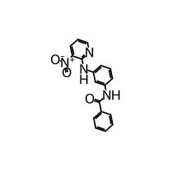 O=C(Nc1cccc(Nc2ncccc2[N+](=O)[O-])c1)c1ccccc1